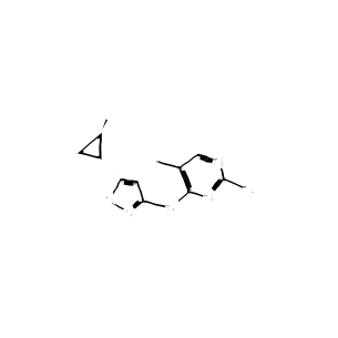 C[C@@H]1C[C@H]1c1cc(Nc2nc(Br)ncc2Cl)n[nH]1